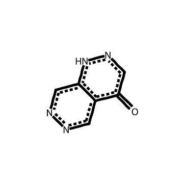 O=c1cn[nH]c2cnncc12